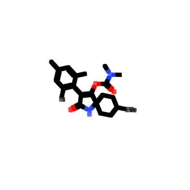 CCc1cc(C)cc(C)c1C1=C(OC(=O)N(C)C)C2(CCC(OC)CC2)NC1=O